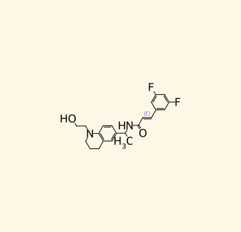 CC(NC(=O)/C=C/c1cc(F)cc(F)c1)c1ccc2c(c1)CCCN2CCO